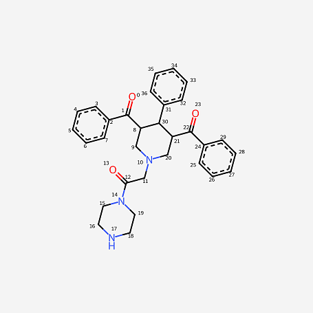 O=C(c1ccccc1)C1CN(CC(=O)N2CCNCC2)CC(C(=O)c2ccccc2)C1c1ccccc1